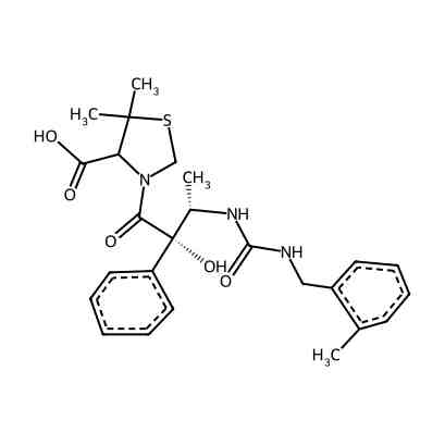 Cc1ccccc1CNC(=O)N[C@@H](C)[C@](O)(C(=O)N1CSC(C)(C)C1C(=O)O)c1ccccc1